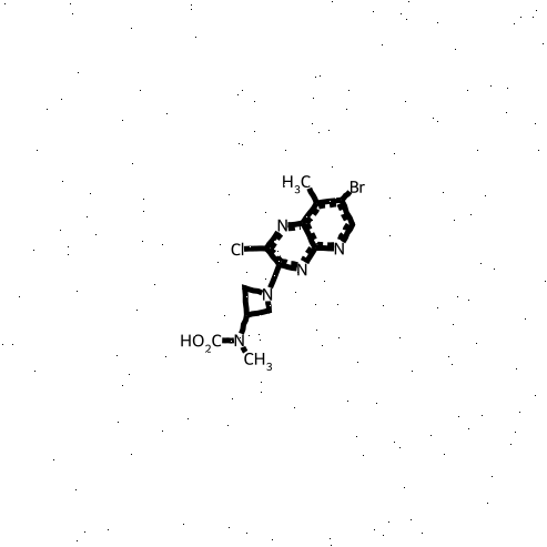 Cc1c(Br)cnc2nc(N3CC(N(C)C(=O)O)C3)c(Cl)nc12